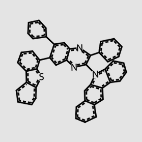 c1ccc(-c2cc3nc(-c4ccccc4)c(-n4c5ccccc5c5cc6ccccc6cc54)nc3cc2-c2cccc3c2sc2ccccc23)cc1